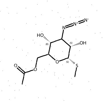 CS[C@@H]1OC(COC(C)=O)[C@H](O)C(N=[N+]=[N-])[C@@H]1O